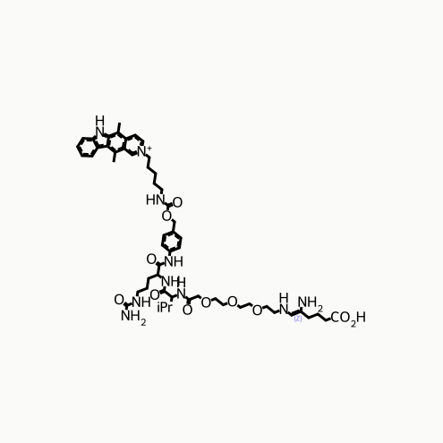 Cc1c2cc[n+](CCCCCNC(=O)OCc3ccc(NC(=O)C(CCCNC(N)=O)NC(=O)C(NC(=O)COCCOCCOCCN/C=C(\N)CCCC(=O)O)C(C)C)cc3)cc2c(C)c2c1[nH]c1ccccc12